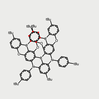 CC(C)(C)c1ccc(N2c3cc(C(C)(C)C)cc4c3B(c3c2cc2c5c3Oc3ccc(C(C)(C)C)cc3B5c3cc(C(C)(C)C)ccc3O2)c2c(cc3c5c2Oc2ccc(C(C)(C)C)cc2B5c2cc(C(C)(C)C)ccc2O3)N4c2ccc(C(C)(C)C)cc2)cc1